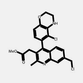 COC(=O)Cc1c(C)nc2cc(CCl)ccc2c1-c1ccc2c(c1Cl)NCCO2